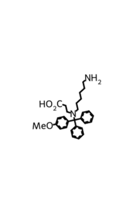 COc1ccc(C(c2ccccc2)(c2ccccc2)N(CCCCCCN)CCC(=O)O)cc1